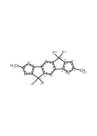 Cc1cc2c(s1)-c1cc3c(cc1C2(F)F)-c1sc(C)cc1C3(F)F